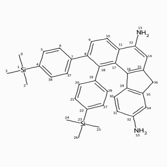 C[Si](C)(C)c1ccc(-c2ccc3c(N)cc4c(c3c2-c2ccc([Si](C)(C)C)cc2)-c2ccc(N)cc2C4)cc1